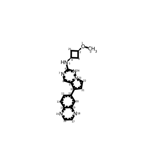 CO[C@H]1C[C@@H](Nc2ncc3c(-c4ccc5nccnc5c4)ccn3n2)C1